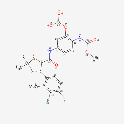 COc1c(C2CC(C)(C(F)(F)F)SC2C(=O)Nc2ccc(NC(=O)OC(C)(C)C)c(OB(O)O)c2)ccc(F)c1F